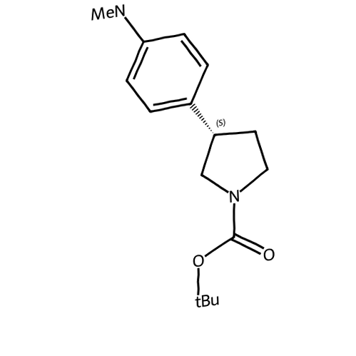 CNc1ccc([C@@H]2CCN(C(=O)OC(C)(C)C)C2)cc1